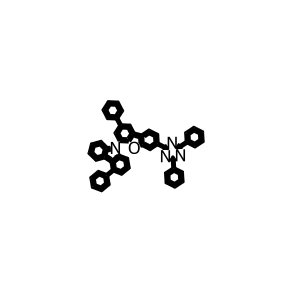 c1ccc(-c2cc(-n3c4ccccc4c4c(-c5ccccc5)cccc43)c3oc4cc(-c5nc(-c6ccccc6)nc(-c6ccccc6)n5)ccc4c3c2)cc1